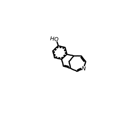 Oc1ccc2c(c1)C1C=CN=CC(=C2)C1